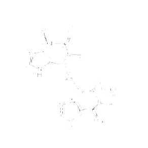 Cn1c(=O)c2[nH]cnc2n(C)c1=O.Cn1c(=O)c2[nH]cnc2n(C)c1=O.O